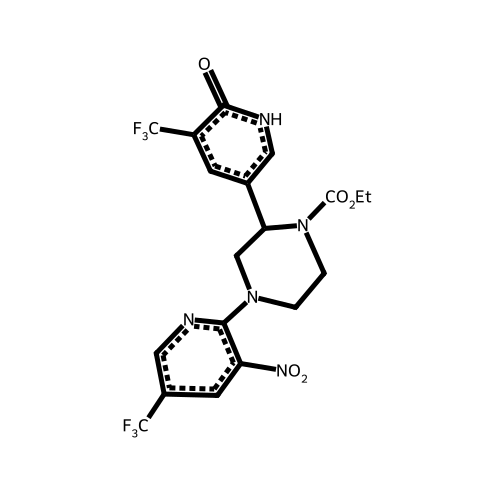 CCOC(=O)N1CCN(c2ncc(C(F)(F)F)cc2[N+](=O)[O-])CC1c1c[nH]c(=O)c(C(F)(F)F)c1